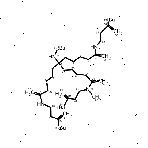 C=C(CCCCC(CCCCC(=C)NCCC(=C)C(C)(C)C)(CCCCC(=C)N(C)CCC(=C)C(C)(C)C)NC(C)(C)C)NCCC(=C)C(C)(C)C